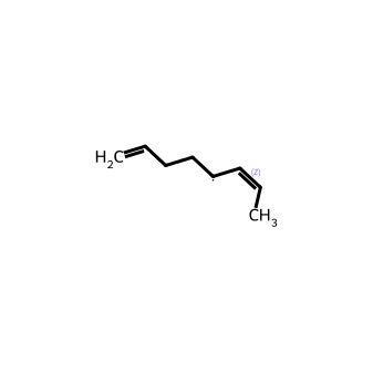 C=CCC[CH]/C=C\C